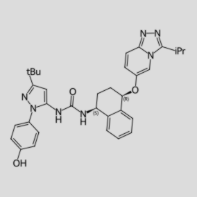 CC(C)c1nnc2ccc(O[C@@H]3CC[C@H](NC(=O)Nc4cc(C(C)(C)C)nn4-c4ccc(O)cc4)c4ccccc43)cn12